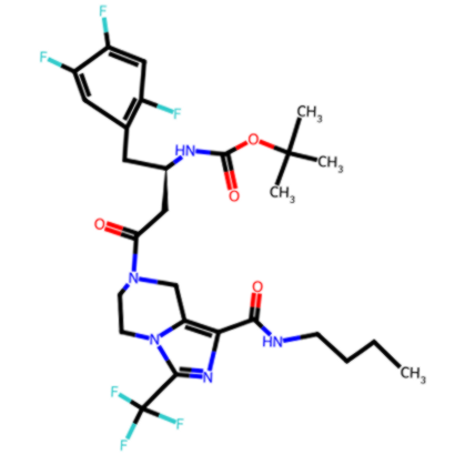 CCCCNC(=O)c1nc(C(F)(F)F)n2c1CN(C(=O)C[C@@H](Cc1cc(F)c(F)cc1F)NC(=O)OC(C)(C)C)CC2